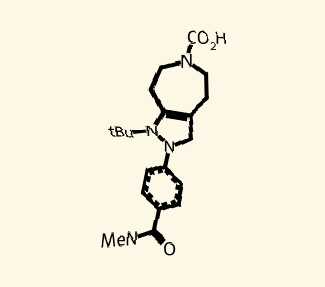 CNC(=O)c1ccc(N2CC3=C(CCN(C(=O)O)CC3)N2C(C)(C)C)cc1